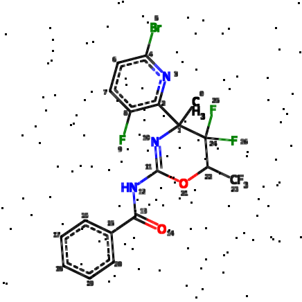 CC1(c2nc(Br)ccc2F)N=C(NC(=O)c2ccccc2)OC(C(F)(F)F)C1(F)F